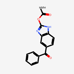 CNC(=O)Oc1nc2cc(C(=O)c3ccccc3)ccc2[nH]1